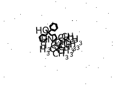 CC(C)(C)[Si](C)(C)O[Si](C)(C)C(C)(C)C.OC(c1ccccc1)(c1ccccc1)C1CCCN1